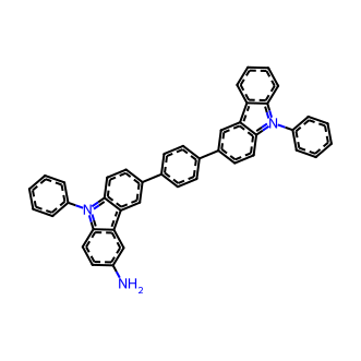 Nc1ccc2c(c1)c1cc(-c3ccc(-c4ccc5c(c4)c4ccccc4n5-c4ccccc4)cc3)ccc1n2-c1ccccc1